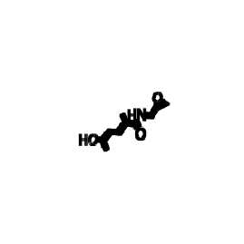 C/C(O)=C\C=C(/C)C(=O)NCC1CO1